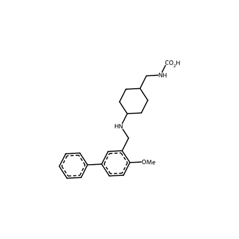 COc1ccc(-c2ccccc2)cc1CNC1CCC(CNC(=O)O)CC1